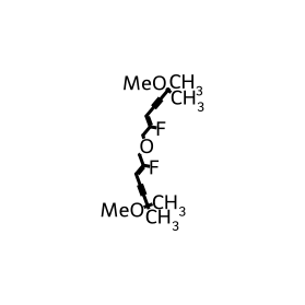 COC(C)(C)C#C/C=C(\F)COC/C(F)=C/C#CC(C)(C)OC